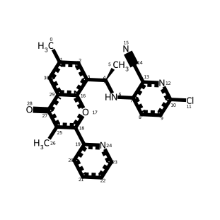 Cc1cc([C@@H](C)Nc2ccc(Cl)nc2C#N)c2oc(-c3ccccn3)c(C)c(=O)c2c1